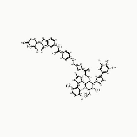 Cc1nc([C@@H]2O[C@H](CO)[C@H](O)[C@H](n3cc(-c4cc(F)c(Cl)c(F)c4)nn3)[C@H]2OCC(=O)N2CC(COc3ccc(C(=O)Nc4ccc5c(c4)C(=O)N(C4CCC(=O)NC4=O)C5)cc3)C2)n(-c2cc(Cl)ccc2C(F)(F)F)n1